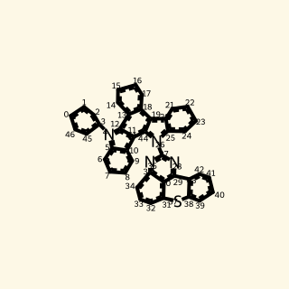 c1ccc(-n2c3ccccc3c3c2c2ccccc2c2c4ccccc4n(-c4nc5c6c(cccc6n4)Sc4ccccc4-5)c23)cc1